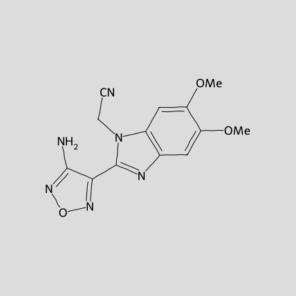 COc1cc2nc(-c3nonc3N)n(CC#N)c2cc1OC